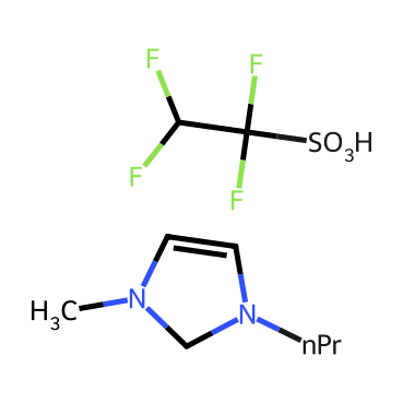 CCCN1C=CN(C)C1.O=S(=O)(O)C(F)(F)C(F)F